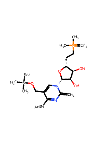 C=C1N=C(NC(C)=O)C(CO[Si](C)(C)C(C)(C)C)=CN1[C@@H]1O[C@H](CCP(=C)(C)C)[C@@H](O)[C@H]1O